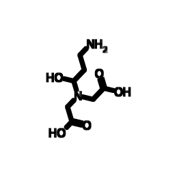 NCCC(O)N(CC(=O)O)CC(=O)O